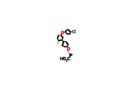 O=C(O)[C@@H]1C[C@H]1COc1ccc(-c2cc(Oc3ccc(Cl)cc3)ccc2F)cc1